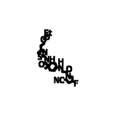 CCOOCCc1csc(NC(=O)C2(C)CC=C(NCC(=O)N3C[C@@H](F)C[C@H]3C#N)CC2)n1